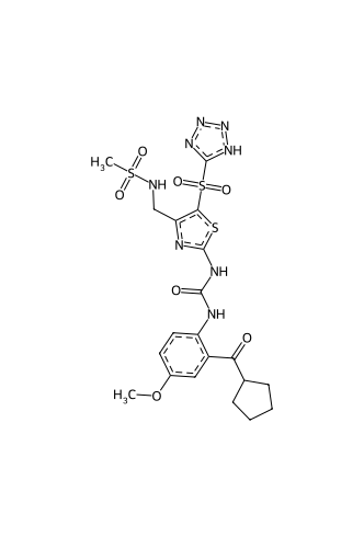 COc1ccc(NC(=O)Nc2nc(CNS(C)(=O)=O)c(S(=O)(=O)c3nnn[nH]3)s2)c(C(=O)C2CCCC2)c1